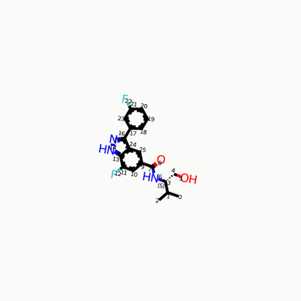 CC(C)[C@@H](CO)NC(=O)c1cc(F)c2[nH]nc(-c3cccc(F)c3)c2c1